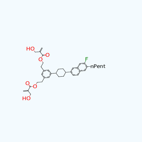 C=C(CO)C(=O)OCCc1cc(CCOC(=O)C(=C)CO)cc(C2CCC(c3ccc4cc(CCCCC)c(F)cc4c3)CC2)c1